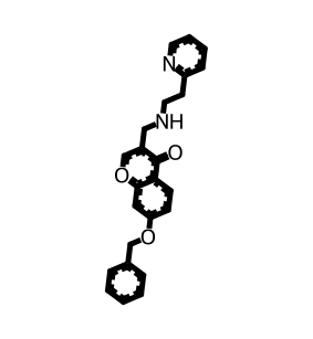 O=c1c(CNCCc2ccccn2)coc2cc(OCc3ccccc3)ccc12